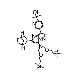 CC(C)(O)c1ccc(-c2cnn3c(N(COCC[Si](C)(C)C)COCC[Si](C)(C)C)cc([C@H]4C[C@@H]5CC[C@@H](C5)C4)nc23)cn1